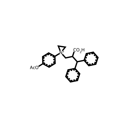 CC(=O)Oc1ccc([N+]2(CC(C(=O)O)C(c3ccccc3)c3ccccc3)CC2)cc1